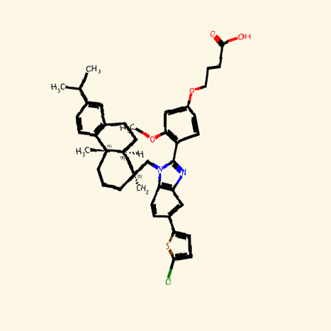 COc1cc(OCCCC(=O)O)ccc1-c1nc2cc(-c3ccc(Cl)s3)ccc2n1C[C@@]1(C)CCC[C@]2(C)c3ccc(C(C)C)cc3CC[C@@H]12